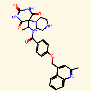 Cc1cc(COc2ccc(C(=O)NC(C)C3(N4CCNCC4)C(=O)NC(=O)NC3=O)cc2)c2ccccc2n1